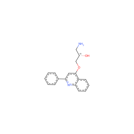 NC[C@H](O)COc1cc(-c2ccccc2)nc2ccccc12